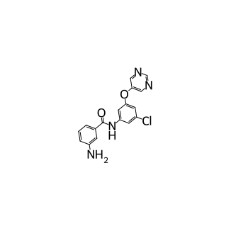 Nc1cccc(C(=O)Nc2cc(Cl)cc(Oc3cncnc3)c2)c1